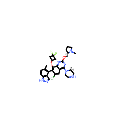 Cc1ccc2[nH]ncc2c1-c1c(Cl)cc2c(N3CCNC[C@@H]3C)nc(OC[C@@H]3CCCN3C)nc2c1OC1CC(F)(F)C1